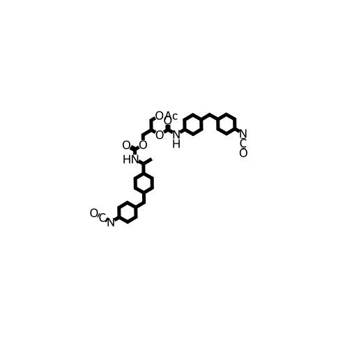 CC(=O)OCC(COC(=O)NC(C)C1CCC(CC2CCC(N=C=O)CC2)CC1)OC(=O)NC1CCC(CC2CCC(N=C=O)CC2)CC1